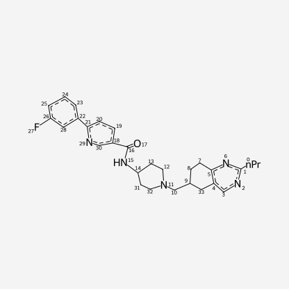 CCCc1ncc2c(n1)CCC(CN1CCC(NC(=O)c3ccc(-c4cccc(F)c4)nc3)CC1)C2